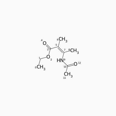 CCOC(=O)C(C)=C(C)NC(C)=O